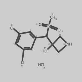 CS(=O)(=O)C(c1cc(Cl)cc(Cl)c1)C1(O)CNC1.Cl